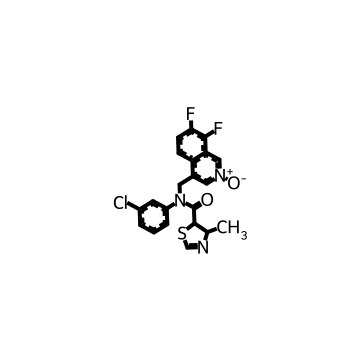 CC1N=CSC1C(=O)N(Cc1c[n+]([O-])cc2c(F)c(F)ccc12)c1cccc(Cl)c1